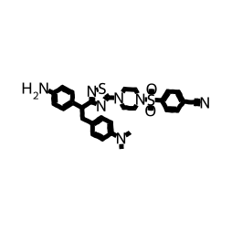 CN(C)c1ccc(CC(c2ccc(N)cc2)c2nsc(N3CCN(S(=O)(=O)c4ccc(C#N)cc4)CC3)n2)cc1